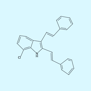 Clc1cccc2c(/C=C/c3ccccc3)c(/C=C/c3ccccc3)[nH]c12